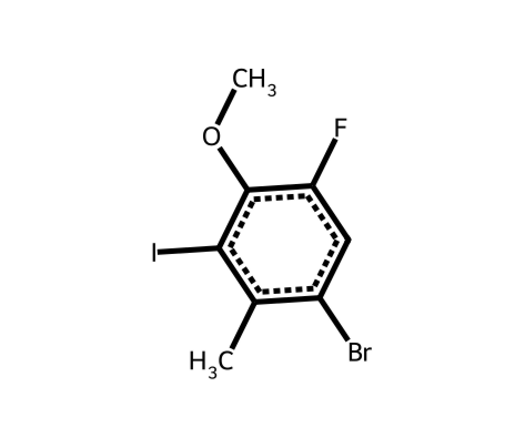 COc1c(F)cc(Br)c(C)c1I